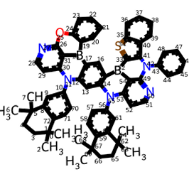 CC1(C)CCC(C)(C)c2cc(N3c4cc5c(cc4B4c6ccccc6Oc6nccc3c64)B3c4sc6ccccc6c4N(c4ccccc4)c4nccc(c43)N5c3ccc4c(c3)C(C)(C)CCC4(C)C)ccc21